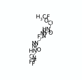 C[C@H](F)Oc1cccc(CNC(=O)c2cn(CC(F)CCn3cc(C(=O)NCc4cccc(C(F)(F)F)n4)nn3)nn2)c1